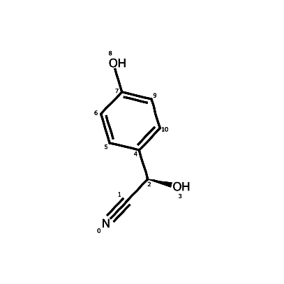 N#C[C@H](O)c1ccc(O)cc1